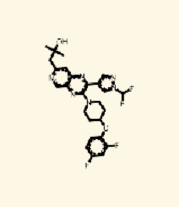 CC(C)(O)Cc1cc2nc(-c3cnn(C(F)F)c3)c(N3CCC(Oc4ccc(F)cc4F)CC3)nc2cn1